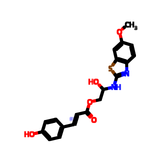 COc1ccc2nc(NC(O)COC(=O)/C=C/c3ccc(O)cc3)sc2c1